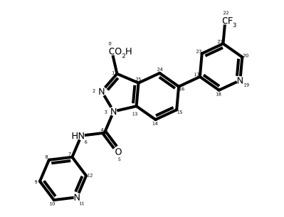 O=C(O)c1nn(C(=O)Nc2cccnc2)c2ccc(-c3cncc(C(F)(F)F)c3)cc12